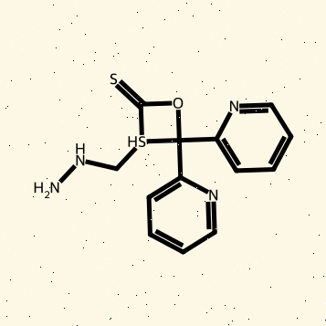 NNC[SH]1C(=S)OC1(c1ccccn1)c1ccccn1